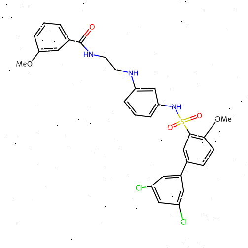 COc1cccc(C(=O)NCCNc2cccc(NS(=O)(=O)c3cc(-c4cc(Cl)cc(Cl)c4)ccc3OC)c2)c1